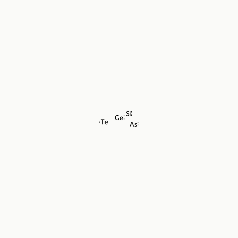 [As].[Ge].[Si].[Te]